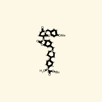 COc1ccc(CN2C(=O)CCC(n3c(=O)oc4cc(CN5CCC(c6ccc(N(C)C(=O)OC(C)(C)C)cc6)CC5)ccc43)C2=O)cc1